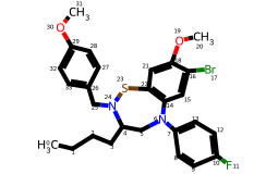 CCCCC1CN(c2ccc(F)cc2)c2cc(Br)c(OC)cc2SN1Cc1ccc(OC)cc1